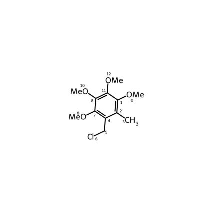 COc1c(C)c(CCl)c(OC)c(OC)c1OC